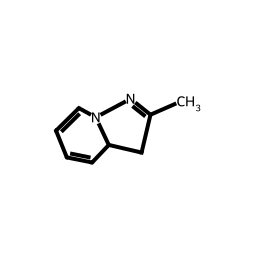 CC1=NN2C=CC=CC2C1